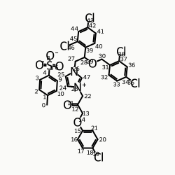 Cc1ccc(S(=O)(=O)[O-])cc1.O=C(COc1ccc(Cl)cc1)C[n+]1ccn(CC(OCc2ccc(Cl)cc2Cl)c2ccc(Cl)cc2Cl)c1